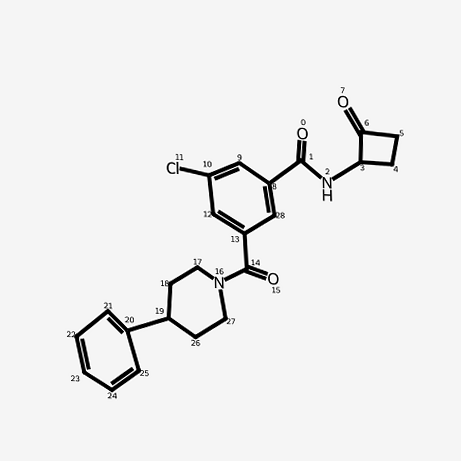 O=C(NC1CCC1=O)c1cc(Cl)cc(C(=O)N2CCC(c3ccccc3)CC2)c1